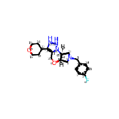 Fc1ccc(CN2C[C@@H]3OCC4=C(C5CCOCC5)NNN4[C@H]3C2)cc1